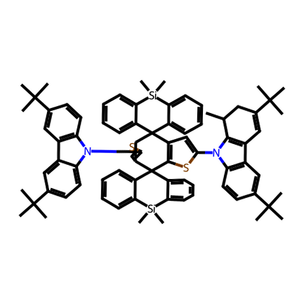 CC1CC(C(C)(C)C)=Cc2c1n(-c1cc3c(s1)C1(c4ccccc4[Si](C)(C)c4ccccc41)c1cc(-n4c5ccc(C(C)(C)C)cc5c5cc(C(C)(C)C)ccc54)sc1C31c3ccccc3[Si](C)(C)c3ccccc31)c1ccc(C(C)(C)C)cc21